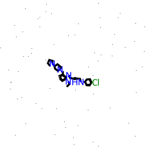 CCn1c(C#CCNC2C=CC(Cl)=CC2)nc2c(CN3CCC(N4CCCC4)CC3)cccc21